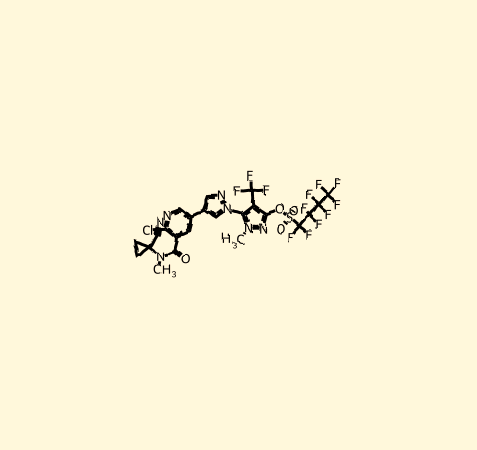 CN(C(=O)c1cc(-c2cnn(-c3c(C(F)(F)F)c(OS(=O)(=O)C(F)(F)C(F)(F)C(F)(F)C(F)(F)F)nn3C)c2)cnc1Cl)C1(C#N)CC1